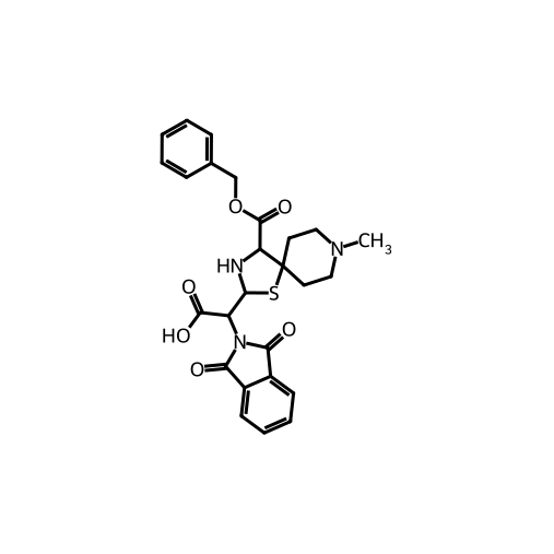 CN1CCC2(CC1)SC(C(C(=O)O)N1C(=O)c3ccccc3C1=O)NC2C(=O)OCc1ccccc1